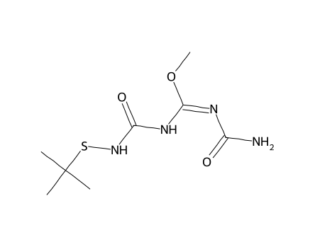 COC(=NC(N)=O)NC(=O)NSC(C)(C)C